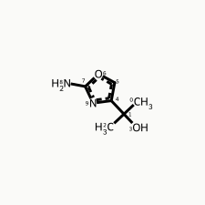 CC(C)(O)c1coc(N)n1